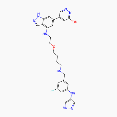 Oc1cc(-c2cc(NCCOCCCCNCc3cc(F)cc(Nc4cn[nH]c4)c3)c3cn[nH]c3c2)cnn1